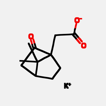 CC1(C)C2CCC1(CC(=O)[O-])C(=O)C2.[K+]